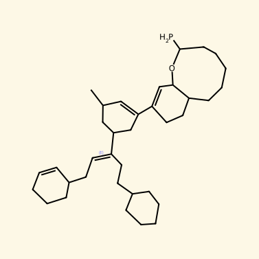 CC1C=C(C2=CC3OC(P)CCCCCC3CC2)CC(/C(=C/CC2C=CCCC2)CCC2CCCCC2)C1